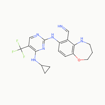 N=Cc1c(Nc2ncc(C(F)(F)F)c(NC3CC3)n2)ccc2c1NCCCO2